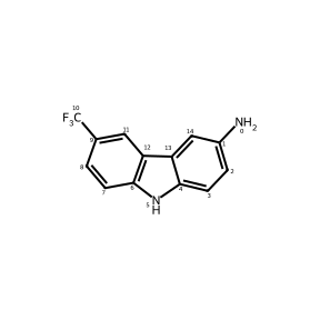 Nc1ccc2[nH]c3ccc(C(F)(F)F)cc3c2c1